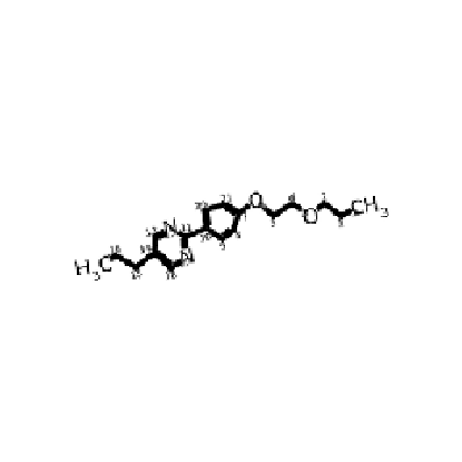 CCCOCCOc1ccc(-c2ncc(CCC)cn2)cc1